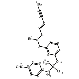 CCN(CC=CC#CC(C)(C)C)Cc1cccc(OC(C)(C)[SiH2]c2ccc(C=O)cc2)c1